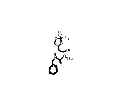 CC(C)(C)OC(=O)N(Cc1ccccc1)C[C@@H](CO)[C@H]1COC(C)(C)O1